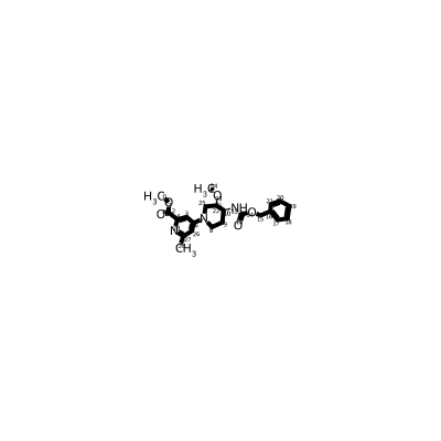 COC(=O)c1cc(N2CC[C@@H](NC(=O)OCc3ccccc3)[C@@H](OC)C2)cc(C)n1